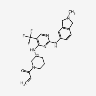 C=CC(=O)N1CCC[C@@H](Nc2nc(Nc3ccc4c(c3)CN(C)C4)ncc2C(F)(F)F)C1